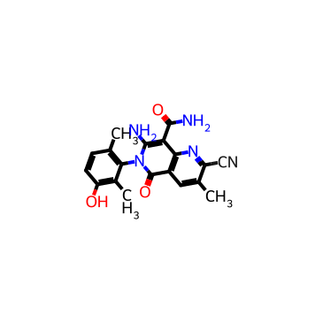 Cc1cc2c(=O)n(-c3c(C)ccc(O)c3C)c(N)c(C(N)=O)c2nc1C#N